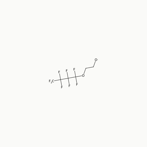 [O]CCOC(F)(F)C(F)(F)C(F)(F)C(F)(F)F